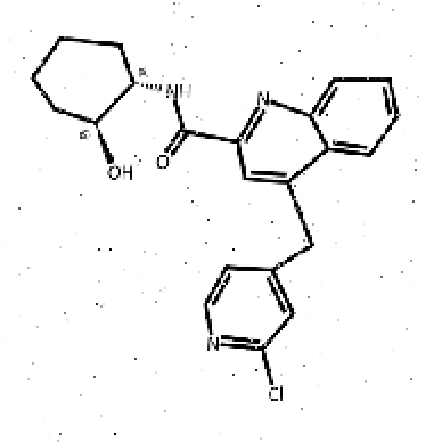 O=C(N[C@H]1CCCC[C@@H]1O)c1cc(Cc2ccnc(Cl)c2)c2ccccc2n1